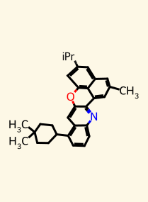 Cc1cc2c3c(cc(C(C)C)cc3c1)Oc1cc3c(C4CCC(C)(C)CC4)cccc3nc1-2